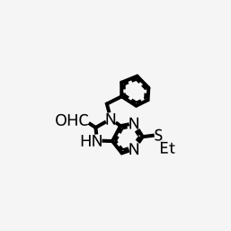 CCSc1ncc2c(n1)N(Cc1ccccc1)C(C=O)N2